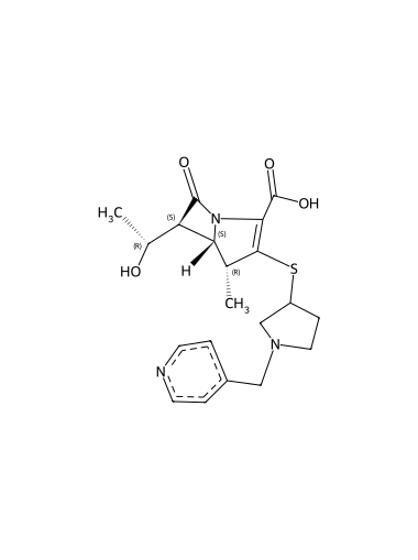 C[C@@H](O)[C@H]1C(=O)N2C(C(=O)O)=C(SC3CCN(Cc4ccncc4)C3)[C@H](C)[C@H]12